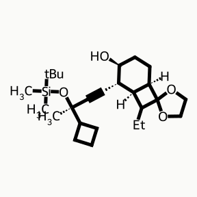 CCC1[C@H]2[C@H](C#C[C@](C)(O[Si](C)(C)C(C)(C)C)C3CCC3)[C@@H](O)CC[C@H]2C12OCCO2